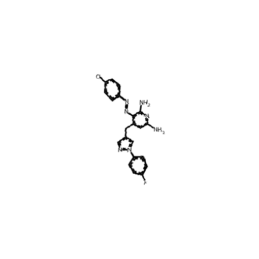 Nc1cc(Cc2cnn(-c3ccc(F)cc3)c2)c(/N=N/c2ccc(Cl)cc2)c(N)n1